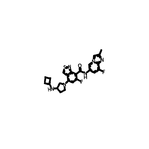 Cc1cn2cc(NC(=O)c3c(F)cc(N4CCC(NC5CCC5)C4)c4csnc34)cc(F)c2n1